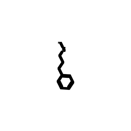 [CH2]SCCCc1ccccc1